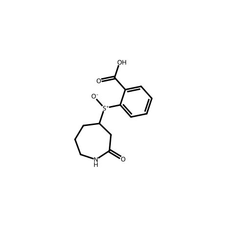 O=C1CC([S+]([O-])c2ccccc2C(=O)O)CCCN1